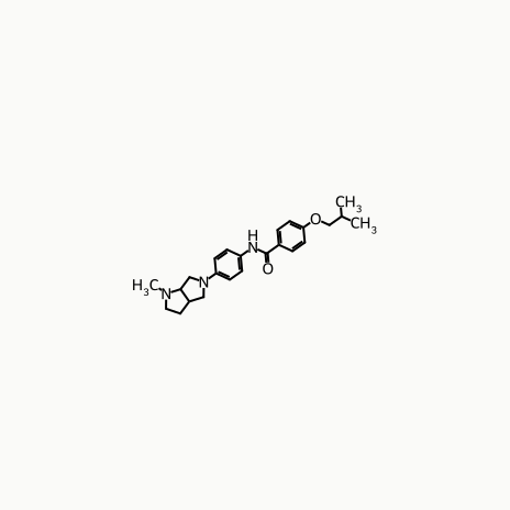 CC(C)COc1ccc(C(=O)Nc2ccc(N3CC4CCN(C)C4C3)cc2)cc1